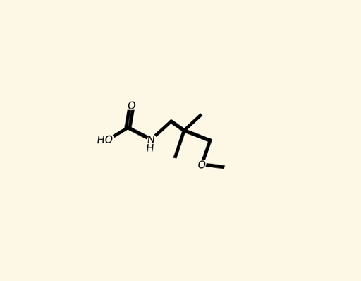 COCC(C)(C)CNC(=O)O